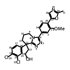 COc1cc(-c2nnc3n2CCCC3(CCO)c2ccc(Cl)c(Cl)c2)ccc1-c1cnc(C)o1